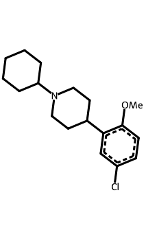 COc1ccc(Cl)cc1C1CCN(C2CCCCC2)CC1